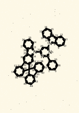 c1ccc(-c2nc(-n3c4ccccc4c4ccccc43)cc(-n3c4ccccc4c4cc5c(cc43)C3(c4ccccc4-c4ccccc43)c3ccccc3-5)n2)cc1